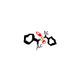 CC(=O)C(c1ccccc1)S(=O)(=O)C(C(C)=O)c1ccccc1